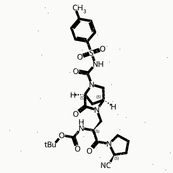 Cc1ccc(S(=O)(=O)NC(=O)N2C[C@@H]3C[C@H]2C(=O)N3C[C@H](NC(=O)OC(C)(C)C)C(=O)N2CCC[C@H]2C#N)cc1